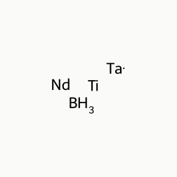 B.[Nd].[Ta].[Ti]